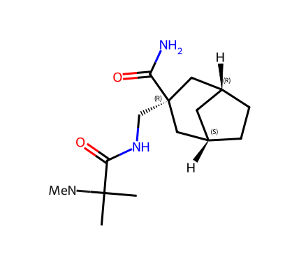 CNC(C)(C)C(=O)NC[C@]1(C(N)=O)C[C@@H]2CC[C@@H](C2)C1